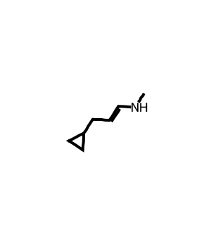 CNC=CCC1CC1